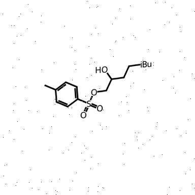 CCC(C)CCC(O)COS(=O)(=O)c1ccc(C)cc1